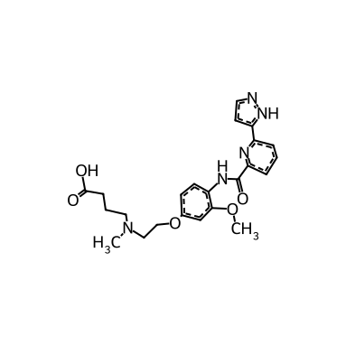 COc1cc(OCCN(C)CCCC(=O)O)ccc1NC(=O)c1cccc(-c2ccn[nH]2)n1